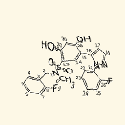 CN(Cc1ccccc1F)S(=O)(=O)c1cc(-c2ccnn2-c2ccccc2F)c(O)cc1O